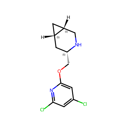 Clc1cc(Cl)nc(OC[C@@H]2C[C@@H]3C[C@@H]3CN2)c1